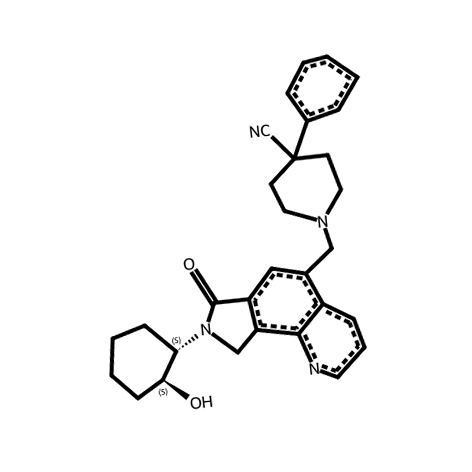 N#CC1(c2ccccc2)CCN(Cc2cc3c(c4ncccc24)CN([C@H]2CCCC[C@@H]2O)C3=O)CC1